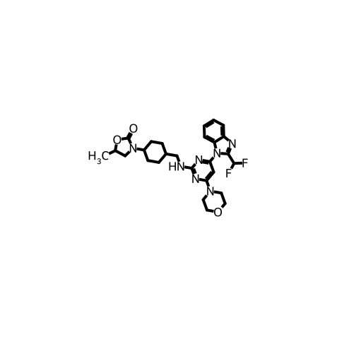 CC1CN(C2CCC(CNc3nc(N4CCOCC4)cc(-n4c(C(F)F)nc5ccccc54)n3)CC2)C(=O)O1